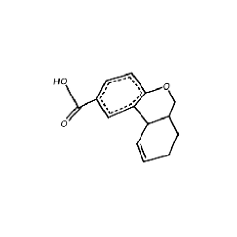 O=C(O)c1ccc2c(c1)C1C=CCCC1CO2